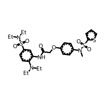 CCN(CC)c1ccc(S(=O)(=O)N(CC)CC)cc1NC(=O)COc1ccc(N(C)S(=O)(=O)c2cccs2)cc1